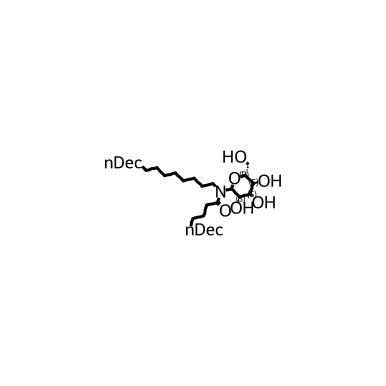 CCCCCCCCCCCCCCCCCCN(C(=O)CCCCCCCCCCCCC)C1O[C@H](CO)[C@@H](O)[C@H](O)[C@@H]1O